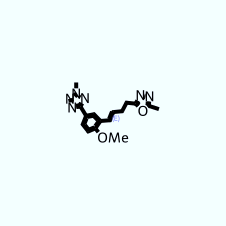 COc1ccc(-c2nnn(C)n2)cc1/C=C/CCc1nnc(C)o1